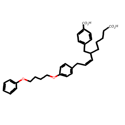 O=C(O)CCCCC(/C=C\Cc1ccc(OCCCCOc2ccccc2)cc1)Cc1ccc(C(=O)O)cc1